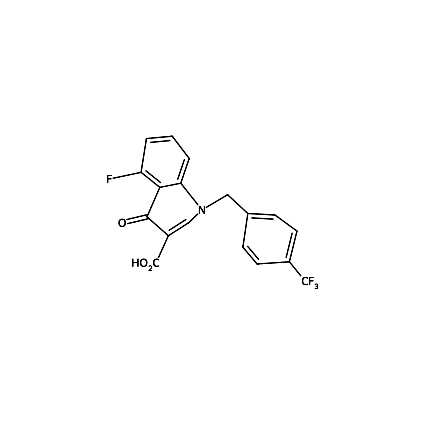 O=C(O)c1cn(Cc2ccc(C(F)(F)F)cc2)c2cccc(F)c2c1=O